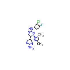 Cc1cc(C)n(-c2nc(Nc3ccc(F)c(Cl)c3)ncc2-c2cnc(N)nc2)n1